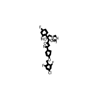 C[C@@H](c1cc(-c2ccc(OCc3c(F)cc(Cl)cc3F)cc2)no1)[C@](O)(Cn1cnnn1)c1ccc(F)cc1F